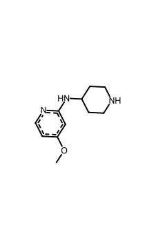 COc1ccnc(NC2CCNCC2)c1